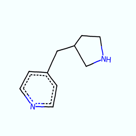 c1cc(CC2CCNC2)ccn1